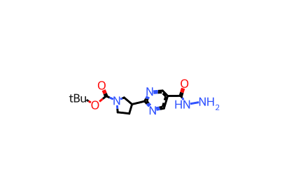 CC(C)(C)OC(=O)N1CCC(c2ncc(C(=O)NN)cn2)C1